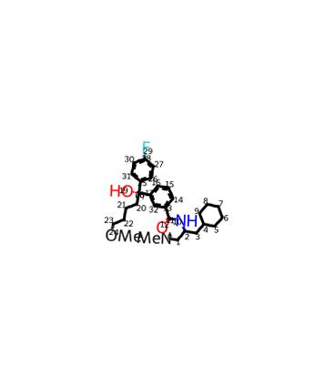 CNCC(CC1CCCCC1)NC(=O)c1cccc([C@@](O)(CCCCOC)c2ccc(F)cc2)c1